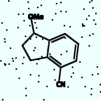 COC1CCc2c(C#N)cccc21